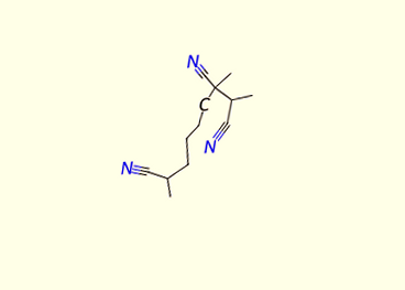 CC(C#N)CCCCC(C)(C#N)C(C)C#N